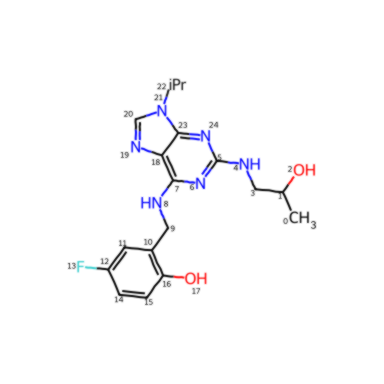 CC(O)CNc1nc(NCc2cc(F)ccc2O)c2ncn(C(C)C)c2n1